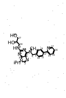 CC(C)n1cnc2c(N(C)Cc3ccc(-c4ccccn4)cc3)nc(NC[C@H](O)CO)nc21